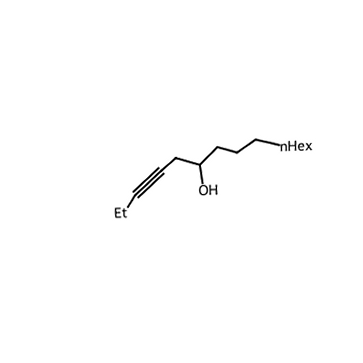 CCC#CCC(O)CCCCCCCCC